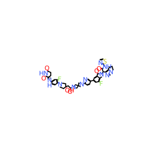 O=C1CC[C@@H](Nc2ccc(N3CCC(O)(CC(=O)N4CC5(C4)CN(c4ccc(-c6cc(F)c7c(c6)C(=O)N(C(C(=O)Nc6nccs6)c6ncn8c6CCC8)C7)cn4)C5)CC3)c(F)c2)C(=O)N1